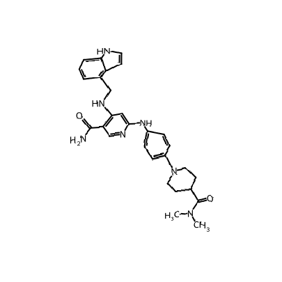 CN(C)C(=O)C1CCN(c2ccc(Nc3cc(NCc4cccc5[nH]ccc45)c(C(N)=O)cn3)cc2)CC1